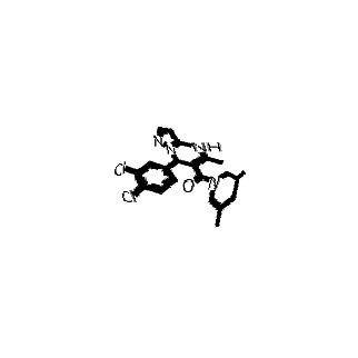 CC1=C(C(=O)N2CC(C)CC(C)C2)C(c2ccc(Cl)c(Cl)c2)n2nccc2N1